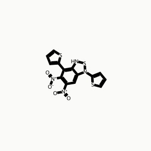 O=[N+]([O-])c1cc2c(c(-c3cccs3)c1[N+](=O)[O-])NSN2c1cccs1